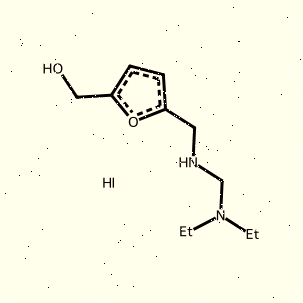 CCN(CC)CNCc1ccc(CO)o1.I